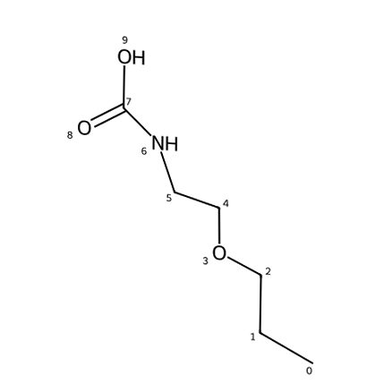 CCCOCCNC(=O)O